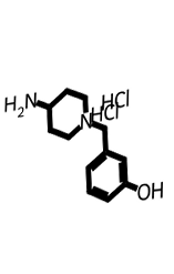 Cl.Cl.NC1CCN(Cc2cccc(O)c2)CC1